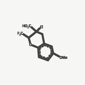 COc1ccc2c(c1)CC(Cl)(C(=O)O)C(C(F)(F)F)O2